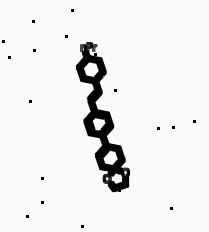 CCCC1CCC(C=Cc2ccc(C3=CCC4(CC3)OCCO4)cc2)CC1